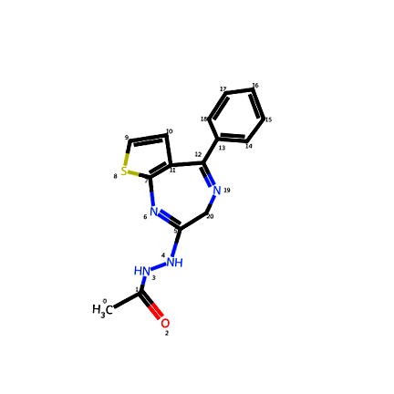 CC(=O)NNC1=Nc2sccc2C(c2ccccc2)=NC1